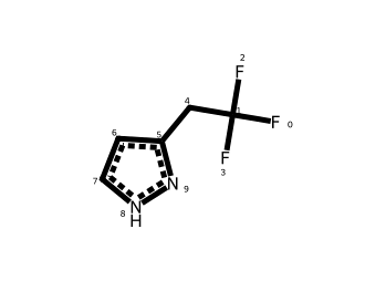 FC(F)(F)Cc1cc[nH]n1